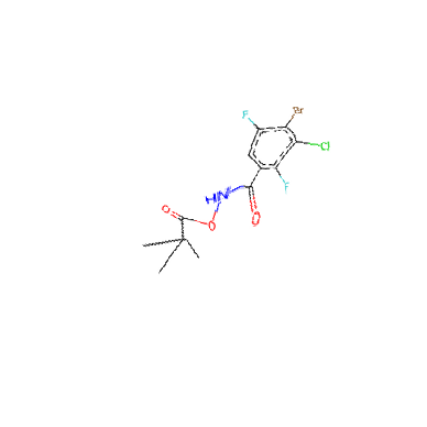 CC(C)(C)C(=O)ONC(=O)c1cc(F)c(Br)c(Cl)c1F